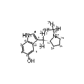 [2H]C([2H])(c1c[nH]c2ccc(O)cc12)[C@H]1CCCN1C([2H])([2H])[2H]